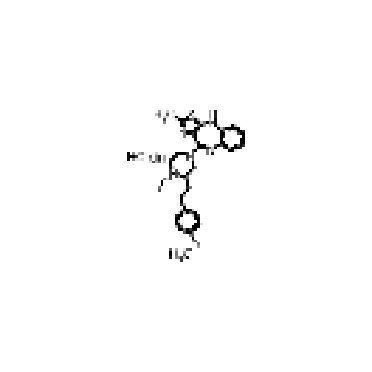 COc1ccc(CCC2CN(C3=Nc4ccccc4Nc4sc(C)nc43)CCN2C)cc1.Cl.Cl